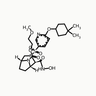 COCCOC(=O)N1[C@@H]2CC[C@H]1[C@H](C(=O)NO)N(S(=O)(=O)c1ccc(OC3CCC(C)(C)CC3)nc1)C2